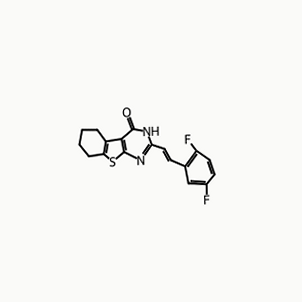 O=c1[nH]c(C=Cc2cc(F)ccc2F)nc2sc3c(c12)CCCC3